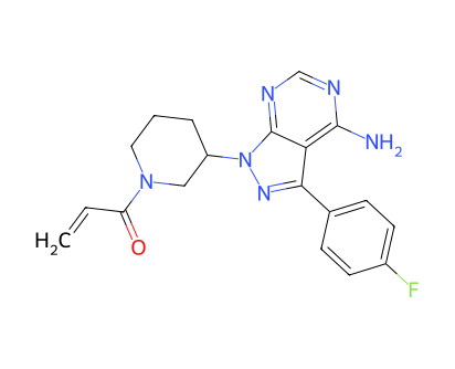 C=CC(=O)N1CCCC(n2nc(-c3ccc(F)cc3)c3c(N)ncnc32)C1